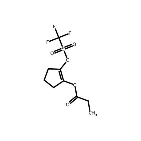 CCC(=O)OC1=C(OS(=O)(=O)C(F)(F)F)CCC1